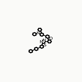 c1ccc(-c2ccc(-c3ccc4sc5c(-c6cccc7oc8ccc(-c9ccc%10c(c9)c9ccccc9n%10-c9ccccc9)cc8c67)ncnc5c4c3)cc2)cc1